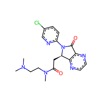 CN(C)CCN(C)C(=O)C[C@@H]1c2nccnc2C(=O)N1c1ccc(Cl)cn1